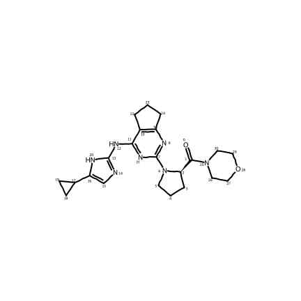 O=C([C@H]1CCCN1c1nc2c(c(Nc3ncc(C4CC4)[nH]3)n1)CCC2)N1CCOCC1